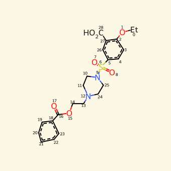 CCOc1ccc(S(=O)(=O)N2CCN(CCOC(=O)c3ccccc3)CC2)cc1C(=O)O